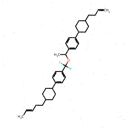 C=CCCC1CCC(c2ccc(C(C)OC(F)(F)c3ccc(C4CCC(CC/C=C/C)CC4)cc3)cc2)CC1